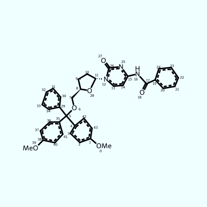 COc1ccc(C(OC[C@H]2[CH]C[C@H](n3ccc(NC(=O)c4ccccc4)nc3=O)O2)(c2ccccc2)c2ccc(OC)cc2)cc1